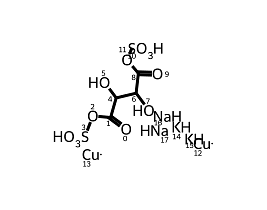 O=C(OS(=O)(=O)O)C(O)C(O)C(=O)OS(=O)(=O)O.[Cu].[Cu].[KH].[KH].[NaH].[NaH]